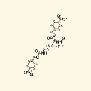 O=C(NCCSC1CC2CC(=O)N2C1C(=O)OCc1ccc([N+](=O)[O-])cc1)OCc1ccc([N+](=O)[O-])cc1